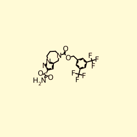 NS(=O)(=O)c1cc2n(n1)CCCN(C(=O)OCc1cc(C(F)(F)F)cc(C(F)(F)F)c1)C2